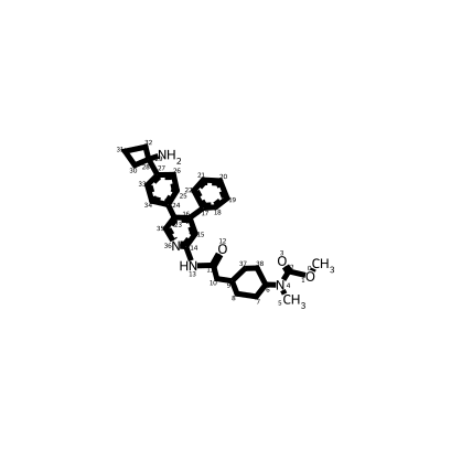 COC(=O)N(C)C1CCC(CC(=O)Nc2cc(-c3ccccc3)c(-c3ccc(C4(N)CCC4)cc3)cn2)CC1